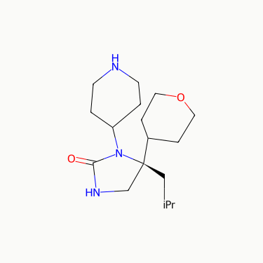 CC(C)C[C@@]1(C2CCOCC2)CNC(=O)N1C1CCNCC1